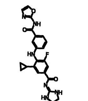 O=C(N=C1NCCN1)c1cc(F)c(Nc2cccc(C(=O)Nc3ncco3)c2)c(C2CC2)c1